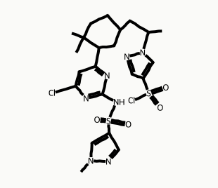 CC(CC1CCC(C)(C)C(c2cc(Cl)nc(NS(=O)(=O)c3cnn(C)c3)n2)C1)n1cc(S(=O)(=O)Cl)cn1